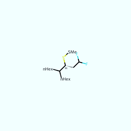 CCCCCCC(CCCCCC)[C@@H](CC(F)F)SSC